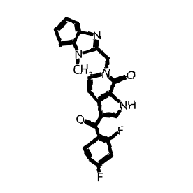 Cn1c(Cn2ccc3c(C(=O)c4ccc(F)cc4F)c[nH]c3c2=O)nc2ccccc21